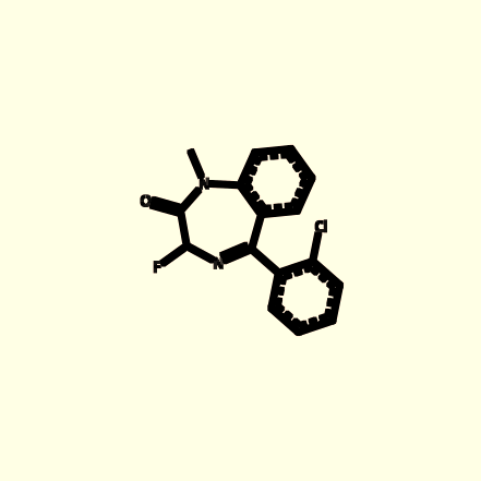 CN1C(=O)C(F)N=C(c2ccccc2Cl)c2ccccc21